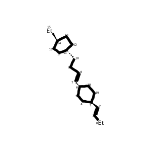 CC/C=C/[C@H]1CC[C@H](/C=C/CC[C@H]2CC[C@H](CC)CC2)CC1